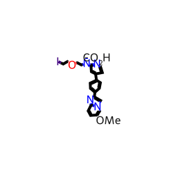 COc1ccc2nc(-c3ccc(-c4ccnc(N(CCOCCI)C(=O)O)c4)cc3)cn2c1